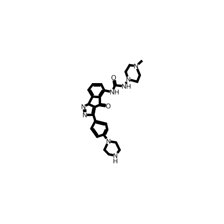 CN1CCN(NC(=O)Nc2cccc3c2C(=O)C2=C(c4ccc(N5CCNCC5)cc4)N=NC23)CC1